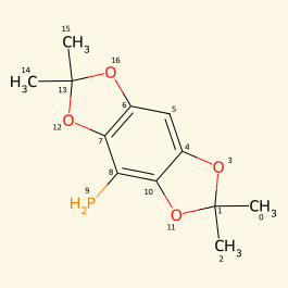 CC1(C)Oc2cc3c(c(P)c2O1)OC(C)(C)O3